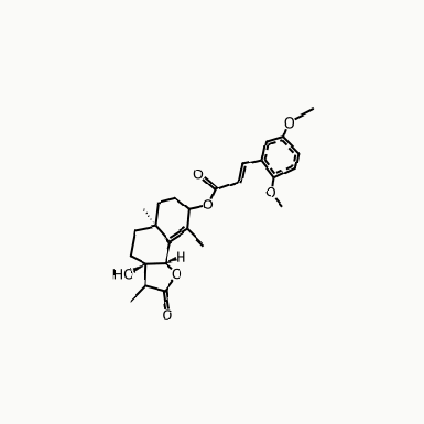 COc1ccc(OC)c(/C=C/C(=O)OC2CC[C@]3(C)CC[C@@]4(O)C(C)C(=O)O[C@H]4C3=C2C)c1